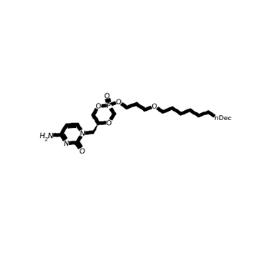 CCCCCCCCCCCCCCCCOCCCOP1(=O)CO[C@@H](Cn2ccc(N)nc2=O)CO1